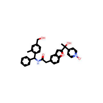 Cc1cc(CO)ccc1C(NC(=O)Cc1ccc2oc(C(C)(O)c3cc[n+]([O-])cc3)cc2c1)c1ccccc1